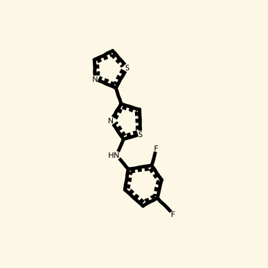 Fc1ccc(Nc2nc(-c3nccs3)cs2)c(F)c1